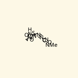 CNC(=O)c1ccc(N2CCN(Cc3nc4c(=O)n(C5CC5)c(=O)[nH]c4s3)CC2)cn1